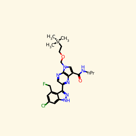 CCCNC(=O)c1cn(COCC[Si](C)(C)C)c2ncc(-c3n[nH]c4cc(Cl)cc(CF)c34)nc12